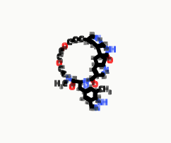 Cc1cc(CC2NC(=O)c3cnc4c(c3)CC3(C4)C(=O)Nc4ncc(cc43)CCCOCCOCCN(C)C2=O)cc2cn[nH]c12